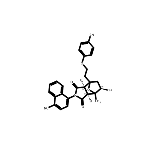 CC12OC(CCOc3ccc(C#N)cc3)(C[C@H]1O)[C@@H]1C(=O)N(c3ccc(C#N)c4ccccc34)C(=O)[C@@H]12